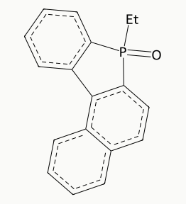 CCP1(=O)c2ccccc2-c2c1ccc1ccccc21